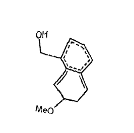 COC1C=c2c(CO)cccc2=CC1